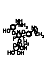 CCOC1(COc2c(F)c(Oc3cccc(C4=NCCN4C)c3)nc(Oc3cc(C(=N)N)ccc3O)c2F)OCC(O)C(O)C1O